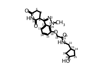 Cn1nc(C2CCC(=O)NC2=O)c2cccc(OCC(=O)NCC3CCC(O)C3)c21